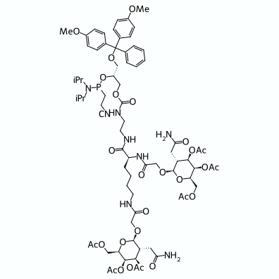 COc1ccc(C(OC[C@H](COC(=O)NCCNC(=O)[C@H](CCCCNC(=O)CO[C@@H]2O[C@H](COC(C)=O)[C@H](OC(C)=O)[C@H](OC(C)=O)[C@H]2CC(N)=O)NC(=O)CO[C@@H]2O[C@H](COC(C)=O)[C@H](OC(C)=O)[C@H](OC(C)=O)[C@H]2CC(N)=O)OP(CCC#N)N(C(C)C)C(C)C)(c2ccccc2)c2ccc(OC)cc2)cc1